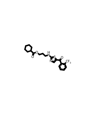 O=C(c1cnc(NCCCOC(=O)C2CCCCC2)s1)c1ccccc1C(F)(F)F